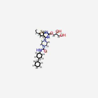 CCc1cc2c(N3CCN(C(=O)Nc4ccc(-c5ccccc5)cc4)CC3)nc(OC[C@H](O)CO)nc2s1